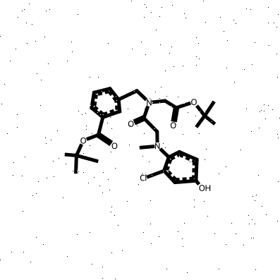 CN(CC(=O)N(CC(=O)OC(C)(C)C)Cc1cccc(C(=O)OC(C)(C)C)c1)c1ccc(O)cc1Cl